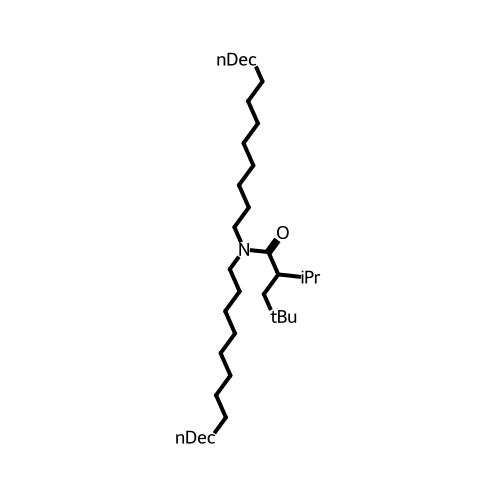 CCCCCCCCCCCCCCCCCCN(CCCCCCCCCCCCCCCCCC)C(=O)C(CC(C)(C)C)C(C)C